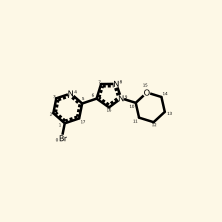 Brc1ccnc(-c2cnn(C3CCCCO3)c2)c1